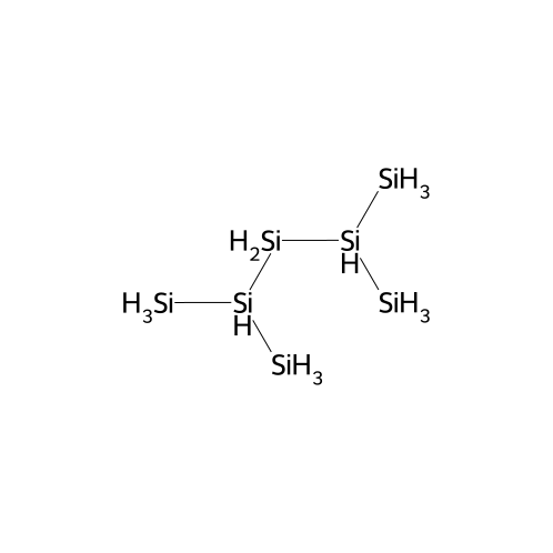 [SiH3][SiH]([SiH3])[SiH2][SiH]([SiH3])[SiH3]